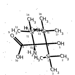 C[Si](C)(C)C(O)([C@](N)(C(=O)O)[Si](C)(C)C)[Si](C)(C)C